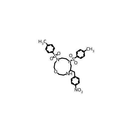 Cc1ccc(S(=O)(=O)N2CCOCCNC(Cc3ccc([N+](=O)[O-])cc3)CN(S(=O)(=O)c3ccc(C)cc3)CC2)cc1